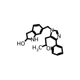 CC(O)Cc1c(-c2ccccc2)ncn1Cc1ccc2c(c1)NC(O)C2